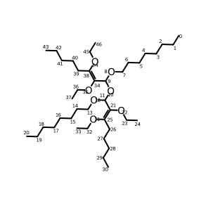 CCCCCCCCOC(OC(OCCCCCCCC)C(OCC)=C(CCCCC)OCC)C(OCC)=C(CCCCC)OCC